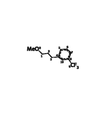 COCCCc1cccc(C(F)(F)F)c1